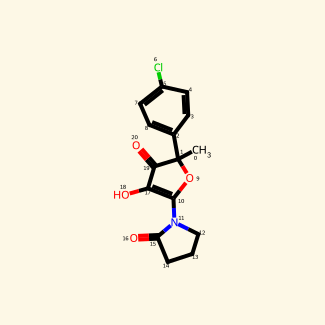 CC1(c2ccc(Cl)cc2)OC(N2CCCC2=O)=C(O)C1=O